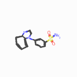 NS(=O)(=O)c1cccc(N2CC=Nc3ccccc32)c1